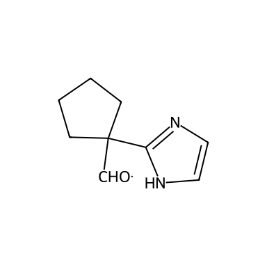 O=[C]C1(c2ncc[nH]2)CCCC1